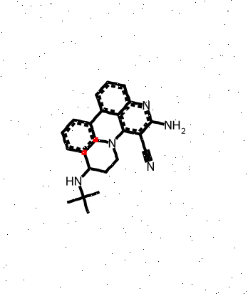 CC(C)(C)NC1CCN(c2c(C#N)c(N)nc3cccc(-c4ccccc4)c23)CC1